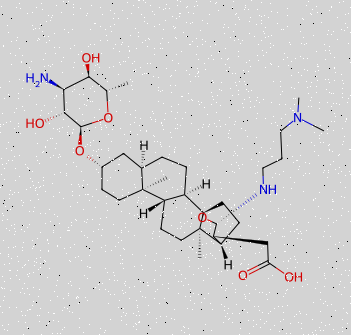 C[C@@H]1O[C@@H](O[C@H]2CC[C@@]3(C)[C@H](CC[C@@H]4[C@@H]3CC[C@]3(C)[C@@H]5CC[C@]43O[C@H](NCCCN(C)C)[C@@H]5CC(=O)O)C2)[C@H](O)[C@@H](N)[C@H]1O